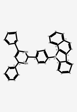 C1=C(c2ccccc2)NC(c2ccc(-n3c4ccccc4c4ccc5ccccc5c43)cc2)NC1c1ccccc1